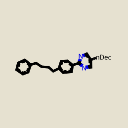 CCCCCCCCCCc1cnc(-c2ccc(CCCCc3ccccc3)cc2)nc1